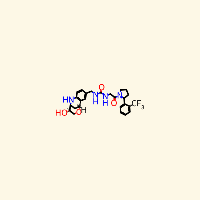 O=C(NCC(=O)N1CCCC1c1ccccc1C(F)(F)F)NCc1ccc2c(c1)[C@@H]1CC(N2)[C@H](O)CO1